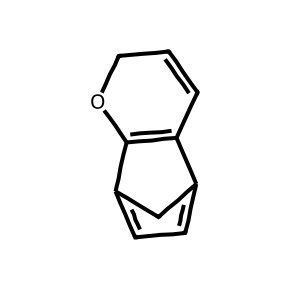 C1=CC2=C(OC1)C1=CC=C2C1